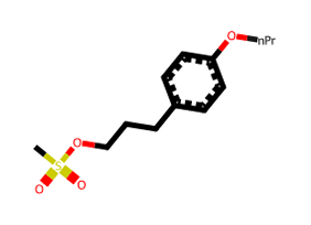 CCCOc1ccc(CCCOS(C)(=O)=O)cc1